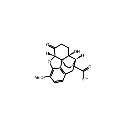 CCCC(=O)N1CC[C@@]23c4c5ccc(OC)c4O[C@@H]2C(=O)CC[C@]3(O)[C@@H]1C5